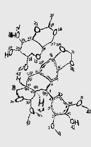 COc1cc([C@@H]2c3cc4c(cc3[C@@H](OC3OC5COC(C)OC5C(O)C3O)[C@H]3COC(OC)[C@H]23)OCO4)cc(OC)c1O